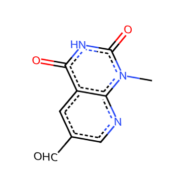 Cn1c(=O)[nH]c(=O)c2cc(C=O)cnc21